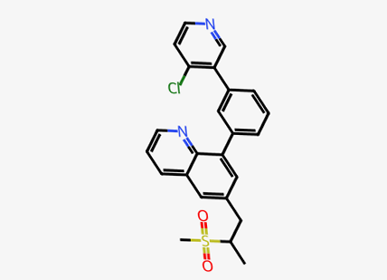 CC(Cc1cc(-c2cccc(-c3cnccc3Cl)c2)c2ncccc2c1)S(C)(=O)=O